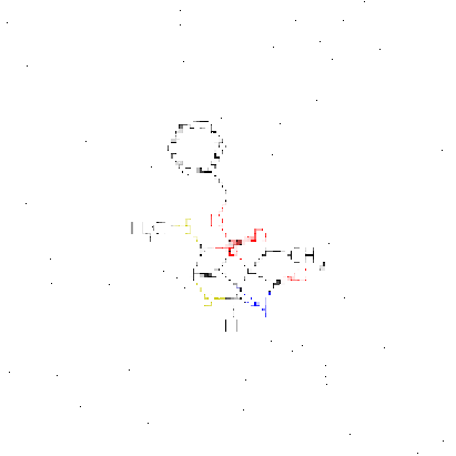 CC[C@@]12OC(SC)C3=C(C(=O)OCc4ccccc4)N(C1=O)[C@H]2S3